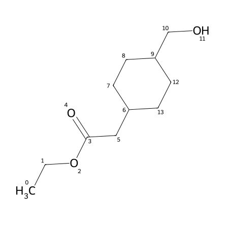 CCOC(=O)CC1CCC(CO)CC1